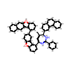 CC1=C=C(c2cccc3oc4ccc(-c5cccc6oc7cc8ccccc8cc7c56)cc4c23)N=C(c2ccccc2)NC1c1ccc2ccc3ccccc3c2c1